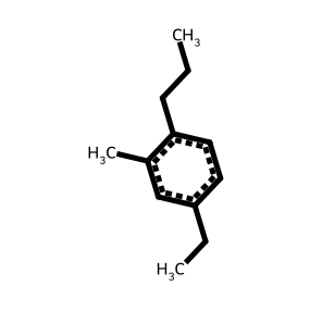 CCCc1ccc(CC)cc1C